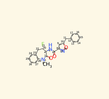 CN1C(=O)[C@H](NC(=O)c2cc(Cc3ccccc3)on2)[C@@H](F)Cc2ccccc21